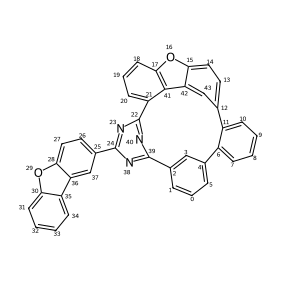 c1cc2cc(c1)c1ccccc1c1ccc3oc4cccc(c5nc(-c6ccc7oc8ccccc8c7c6)nc2n5)c4c3c1